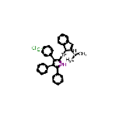 C[SiH](C)C1=Cc2ccccc2[CH]1[Ti+2][c]1[pH]c(-c2ccccc2)c(-c2ccccc2)c1-c1ccccc1.[Cl-].[Cl-]